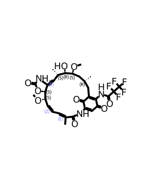 CO[C@H]1/C=C\C=C(/C)C(=O)NC2=CC(=O)C(NC(=O)C(F)(F)C(F)(F)F)=C(C[C@@H](C)C[C@H](OC)[C@H](O)[C@@H](C)/C=C(\C)[C@@H]1OC(N)=O)C2=O